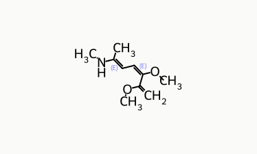 C=C(OC)/C(=C\C=C(/C)NC)OC